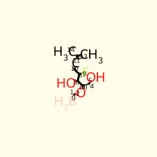 BCO[C@H](CO)C(O)C(F)C=C=C(C)C